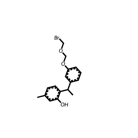 Cc1ccc(C(C)c2cccc(OCOCBr)c2)c(O)c1